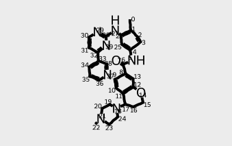 Cc1ccc(NC(=O)c2ccc3c(c2)OCCC3N2CCN(C)CC2)cc1Nc1nccc(-c2cccnc2)n1